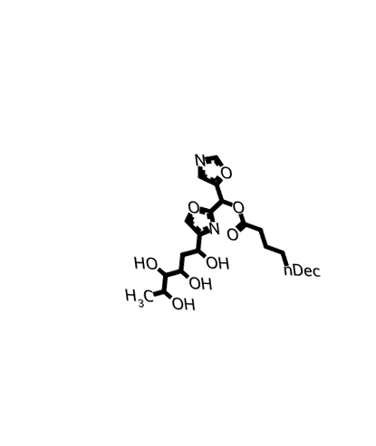 CCCCCCCCCCCCCC(=O)OC(c1cnco1)c1nc(C(O)CC(O)C(O)C(C)O)co1